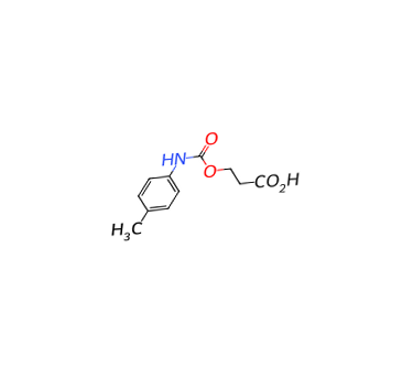 Cc1ccc(NC(=O)OCCC(=O)O)cc1